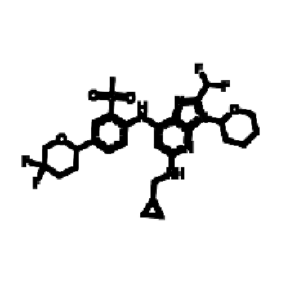 CS(=O)(=O)c1cc(C2CCC(F)(F)CO2)ccc1Nc1cc(NCC2CC2)nc2c1nc(C(F)F)n2C1CCCCO1